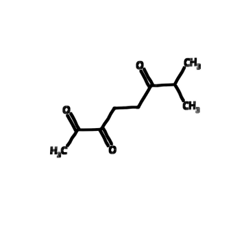 CC(=O)C(=O)CCC(=O)C(C)C